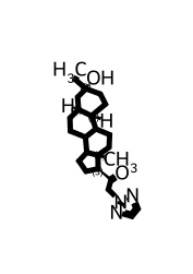 CC[C@@]1(O)CC[C@@H]2C3CC[C@@]4(C)C(CC[C@@H]4C(=O)Cn4nccn4)C3CC[C@H]2C1